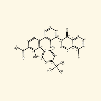 Cc1c(-c2ncc(C(N)=O)c3[nH]c4cc(C(C)(C)O)ccc4c23)cccc1-n1cnc2c(I)cccc2c1=O